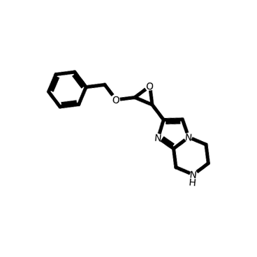 c1ccc(COC2OC2c2cn3c(n2)CNCC3)cc1